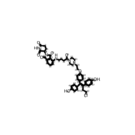 O=C1CCC(N2C(=O)c3cccc(NCCCC(=O)N4CCN(CCOc5ccc(C(=C(CCCl)c6ccc(O)cc6)c6ccc(O)cc6)cc5)CC4)c3C2=O)C(=O)N1